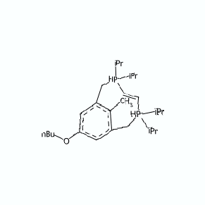 CCCCOc1cc2c(C)c(c1)C[PH](C(C)C)(C(C)C)/C=C/[PH](C(C)C)(C(C)C)C2